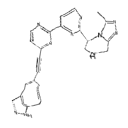 Cc1nnc2n1C(c1nccc(-c3nccc(C#Cc4ccc5[nH]ncc5c4)n3)n1)CNC2